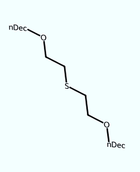 CCCCCCCCCCOCCSCCOCCCCCCCCCC